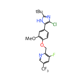 COc1cc(-c2[nH]c(C(C)(C)C)nc2Cl)ccc1OCc1ncc(C(F)(F)F)cc1F